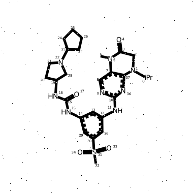 CC(C)N1CC(=O)N(C)c2cnc(Nc3cc(NC(=O)NC4CCN(C5CCCC5)C4)cc(S(C)(=O)=O)c3)nc21